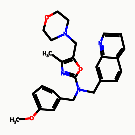 COc1cccc(CN(Cc2ccc3cccnc3c2)c2nc(C)c(CN3CCOCC3)o2)c1